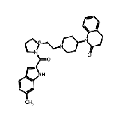 Cc1ccc2cc(C(=O)N3CCC[C@H]3CCN3CCC(N4C(=O)CCc5ccccc54)CC3)[nH]c2c1